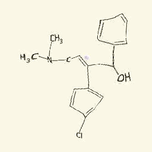 CN(C)C/C=C(\c1ccc(Cl)cc1)C(O)c1ccccc1